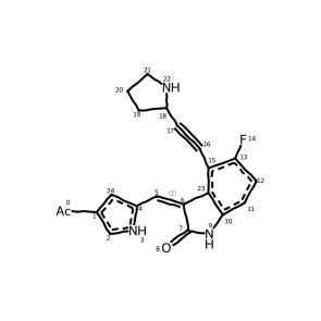 CC(=O)c1c[nH]c(/C=C2\C(=O)Nc3ccc(F)c(C#CC4CCCN4)c32)c1